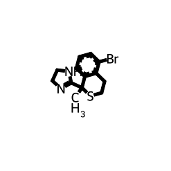 CC1(C2=NCCN2)SCCc2c(Br)cccc21